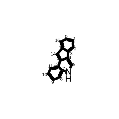 c1ccc2c3c[nH]c4ccccc4c-3cc2c1